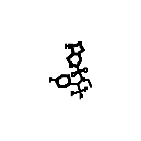 CCN(C(c1ccc(F)cc1)C(F)(F)F)S(=O)(=O)c1cc2cn[nH]c2cn1